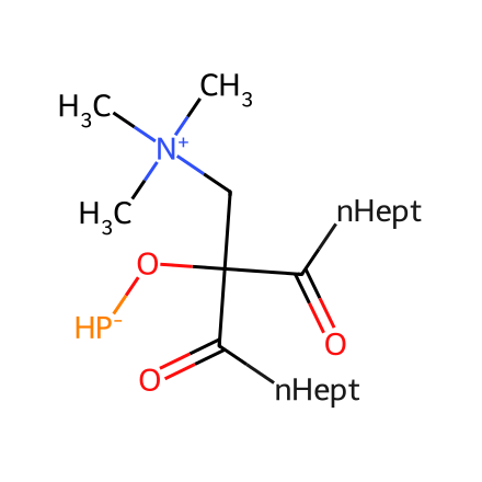 CCCCCCCC(=O)C(C[N+](C)(C)C)(O[PH-])C(=O)CCCCCCC